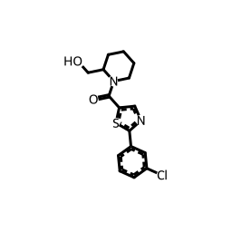 O=C(c1cnc(-c2cccc(Cl)c2)s1)N1CCCCC1CO